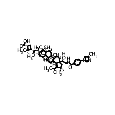 Cc1cn(-c2ccc(C(=O)NC[C@H](O)[C@@]34CC[C@]5(C)[C@H](CC[C@@H]6[C@@]7(C)CC[C@H](OC(=O)[C@H]8C[C@@H](C(=O)O)C8(C)C)C(C)(C)[C@@H]7CC[C@]65C)C3=C(C(C)C)C(=O)C4)cc2)cn1